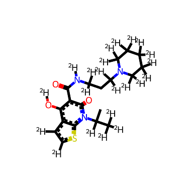 [2H]Oc1c(C(=O)N([2H])C([2H])([2H])CC([2H])([2H])N2C([2H])([2H])C([2H])([2H])C([2H])([2H])C([2H])([2H])C2([2H])[2H])c(=O)n(C([2H])(C)C([2H])([2H])[2H])c2sc([2H])c([2H])c12